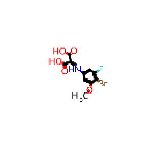 COc1cc(NC=C(C(=O)O)C(=O)O)cc(F)c1Br